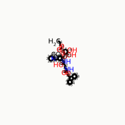 C=CCOC(=O)[C@@H]1C[C@H](O)[C@@H](O)[C@H](Oc2ccc(C[N+]3(C)CCCC[C@@H]3C(=O)O)cc2N[C@H](O)CCNC(=O)OCC2c3ccccc3-c3ccccc32)O1